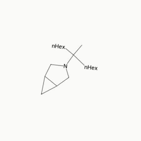 CCCCCCC(C)(CCCCCC)N1CC2CC2C1